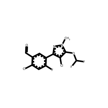 Cn1nc(-c2cc(C=O)c(Cl)cc2F)c(Cl)c1OC(F)F